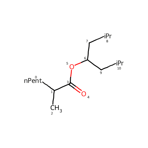 CCCCCC(C)C(=O)OC(CC(C)C)CC(C)C